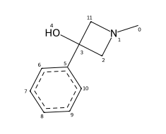 CN1CC(O)(c2ccccc2)C1